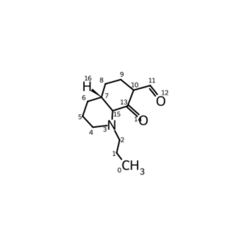 CCCN1CCC[C@@H]2CCC(C=O)C(=O)C21